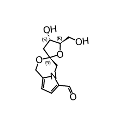 O=Cc1ccc2n1C[C@]1(C[C@H](O)[C@@H](CO)O1)OC2